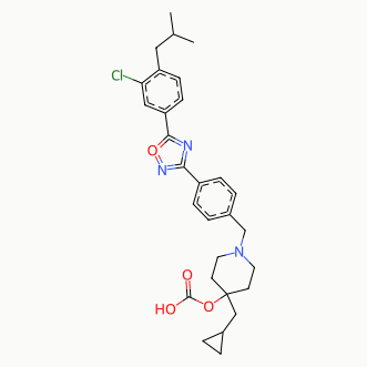 CC(C)Cc1ccc(-c2nc(-c3ccc(CN4CCC(CC5CC5)(OC(=O)O)CC4)cc3)no2)cc1Cl